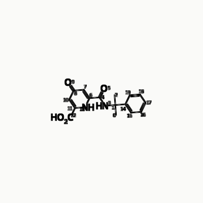 CC(C)(NC(=O)c1cc(=O)cc(C(=O)O)[nH]1)c1ccccc1